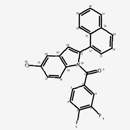 O=C(c1ccc(F)c(F)c1)n1c(-c2cccc3ccccc23)cc2cc(Cl)ccc21